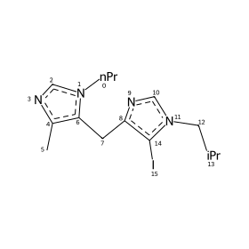 CCCn1cnc(C)c1Cc1ncn(CC(C)C)c1I